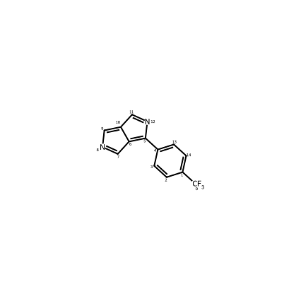 FC(F)(F)c1ccc(C2=C3C=NC=C3C=N2)cc1